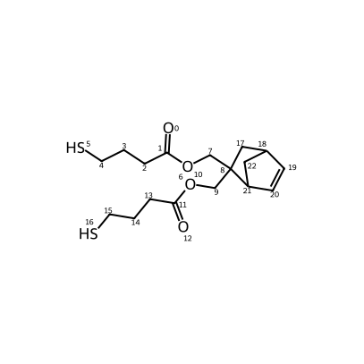 O=C(CCCS)OCC1(COC(=O)CCCS)CC2C=CC1C2